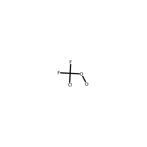 [O]OC(F)(F)Cl